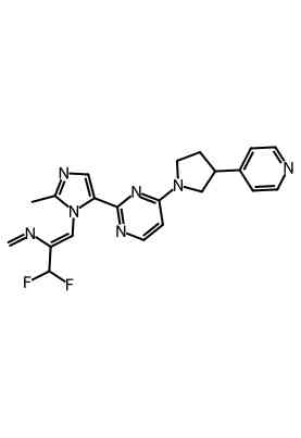 C=N/C(=C\n1c(-c2nccc(N3CCC(c4ccncc4)C3)n2)cnc1C)C(F)F